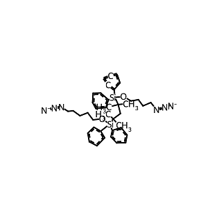 CC(C)(CC(C)(C)[Si](OCCCCN=[N+]=[N-])(c1ccccc1)c1ccccc1)[Si](OCCCCCN=[N+]=[N-])(c1ccccc1)c1ccccc1